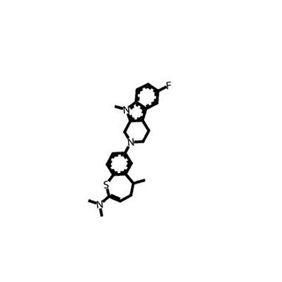 CC1CC=C(N(C)C)Sc2ccc(N3CCc4c(n(C)c5ccc(F)cc45)C3)cc21